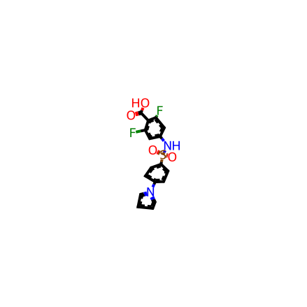 O=C(O)c1c(F)cc(NS(=O)(=O)c2ccc(-n3cccc3)cc2)cc1F